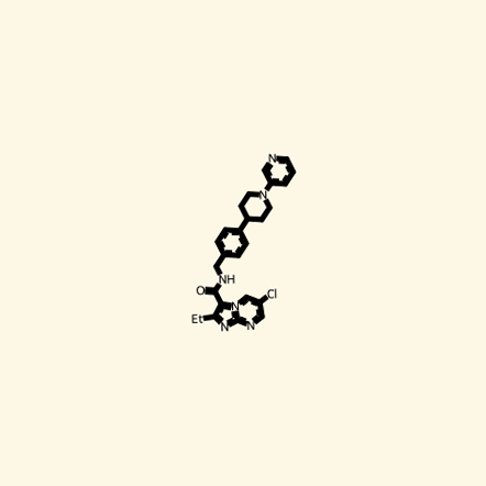 CCc1nc2ncc(Cl)cn2c1C(=O)NCc1ccc(C2CCN(c3cccnc3)CC2)cc1